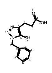 O=C(O)CCc1nnn(Cc2ccccc2)c1S